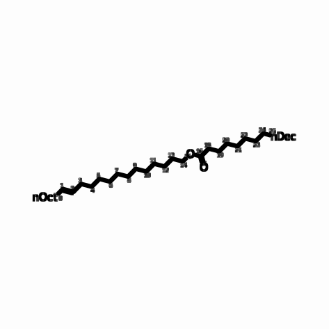 CCCCCCCCC=CCCCCCCCCCCCCOC(=O)CCCCCCCCCCCCCCCCC